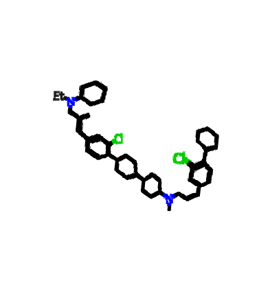 CCN(C/C(C)=C/c1ccc(C2CCC(C3CCC(N(C)C/C=C\c4ccc(C5CCCCC5)c(Cl)c4)CC3)CC2)c(Cl)c1)C1CCCCC1